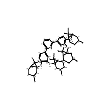 CC1CCC2C(C)(C)C2(Oc2ccc(-c3cccc(-c4ccc(OC56CC(C)CCC5C6(C)C)c(OC56CC(C)CCC5C6(C)C)c4)n3)cc2OC23CC(C)CCC2C3(C)C)C1